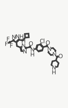 O=C(Nc1ccc(C(=O)N2CCN(C(=O)C3CCNCC3)CC2)c(Cl)c1)c1ncc(Cc2c(C(F)(F)F)n[nH]c2CC2CCC2)[nH]1